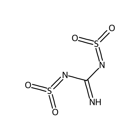 N=C(N=S(=O)=O)N=S(=O)=O